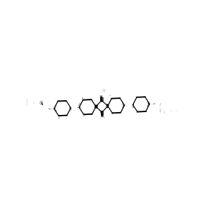 CCCCCCCCCCO[C@H]1CC[C@H](C2CCC3(CC2)C(=O)C2(CCC([C@H]4CC[C@H](OCCCCCCCCCC)CC4)CC2)C3=O)CC1